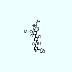 COn1c(=O)c(-c2ccc(NC(=O)c3ccnc(N4CCOCC4)c3)cc2Cl)cc2cnc(NCCN(C)C)nc21